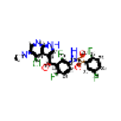 [C-]#[N+]c1cnc2[nH]cc(C(=O)c3c(F)ccc(NS(=O)(=O)c4cc(F)ccc4F)c3F)c2c1Cl